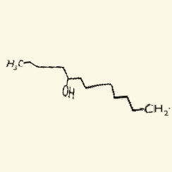 [CH2]CCCCCCC(O)CCCC